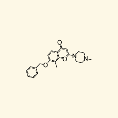 Cc1c(OCc2ccccc2)ccc2c(=O)cc(N3CCN(C)CC3)oc12